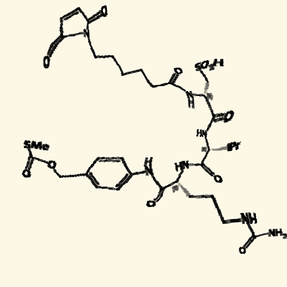 CSC(=O)OCc1ccc(NC(=O)[C@@H](CCCNC(N)=O)NC(=O)[C@H](NC(=O)[C@@H](CS(=O)(=O)O)NC(=O)CCCCCN2C(=O)C=CC2=O)C(C)C)cc1